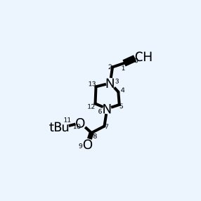 C#CCN1CCN(CC(=O)OC(C)(C)C)CC1